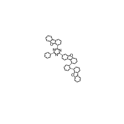 c1ccc(-c2nc(-c3ccc4c(c3)oc3cccc(-c5ccccc5-c5cccc6c5oc5ccccc56)c34)nc(-c3cccc4c3oc3ccccc34)n2)cc1